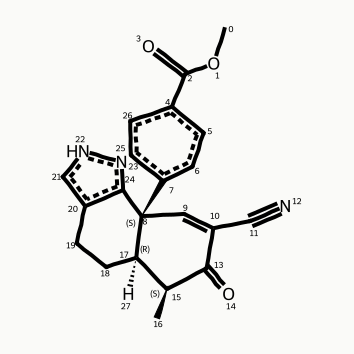 COC(=O)c1ccc([C@@]23C=C(C#N)C(=O)[C@@H](C)[C@H]2CCc2c[nH]nc23)cc1